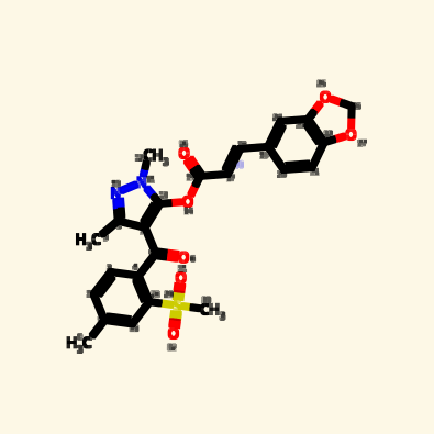 Cc1ccc(C(=O)c2c(C)nn(C)c2OC(=O)/C=C/c2ccc3c(c2)OCO3)c(S(C)(=O)=O)c1